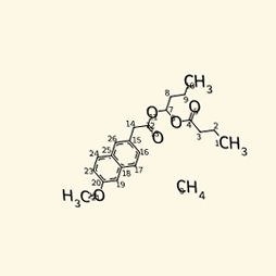 C.CCCC(=O)OC(CCC)OC(=O)Cc1ccc2cc(OC)ccc2c1